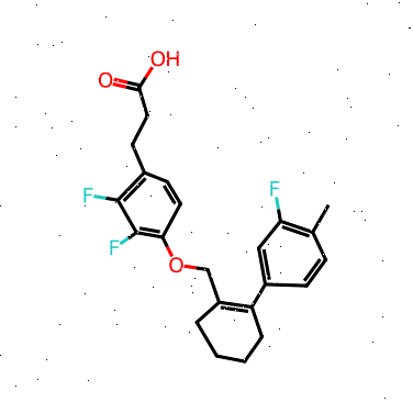 Cc1ccc(C2=C(COc3ccc(CCC(=O)O)c(F)c3F)CCCC2)cc1F